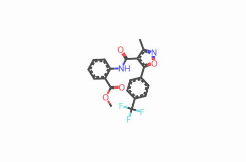 COC(=O)c1ccccc1NC(=O)c1c(C)noc1-c1ccc(C(F)(F)F)cc1